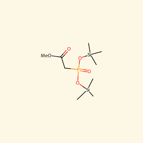 COC(=O)CP(=O)(O[Si](C)(C)C)O[Si](C)(C)C